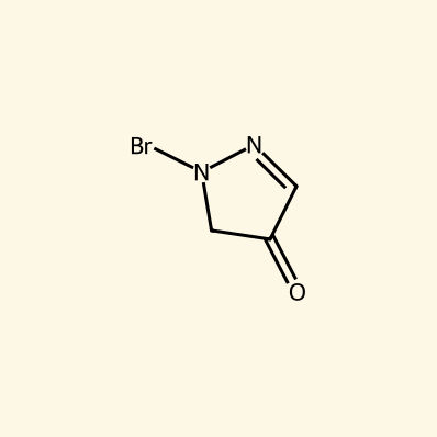 O=C1C=NN(Br)C1